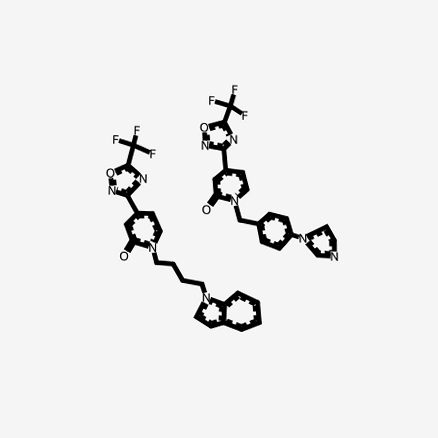 O=c1cc(-c2noc(C(F)(F)F)n2)ccn1CCCCn1ccc2ccccc21.O=c1cc(-c2noc(C(F)(F)F)n2)ccn1Cc1ccc(-n2ccnc2)cc1